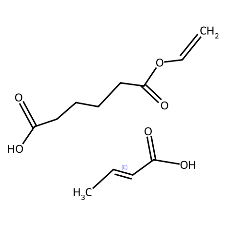 C/C=C/C(=O)O.C=COC(=O)CCCCC(=O)O